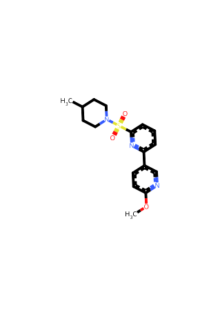 COc1ccc(-c2cccc(S(=O)(=O)N3CCC(C)CC3)n2)cn1